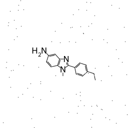 CCc1ccc(-c2nc3cc(N)ccc3n2C)cc1